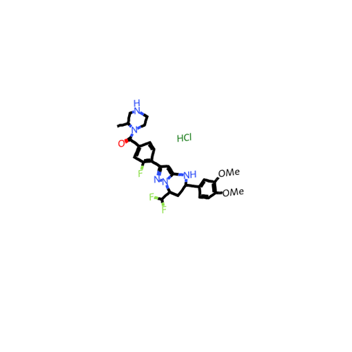 COc1ccc(C2CC(C(F)F)n3nc(-c4ccc(C(=O)N5CCNCC5C)cc4F)cc3N2)cc1OC.Cl